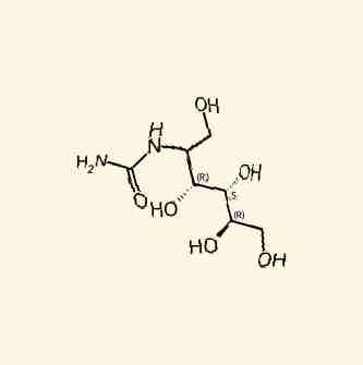 NC(=O)NC(CO)[C@@H](O)[C@H](O)[C@H](O)CO